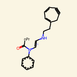 CCCC(=O)N(/C=C/NCCC1=CC=CC#CC1)c1ccccc1